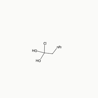 CCCCC(O)(O)Cl